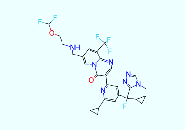 Cn1cnnc1C(F)(c1cc(-c2cnc3c(C(F)(F)F)cc(CNCCOC(F)F)cn3c2=O)nc(C2CC2)c1)C1CC1